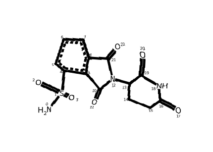 NS(=O)(=O)c1cccc2c1C(=O)N(C1CCC(=O)NC1=O)C2=O